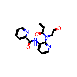 C=CC(=O)N(C[C]=O)c1ncccc1NC(=O)c1ccccn1